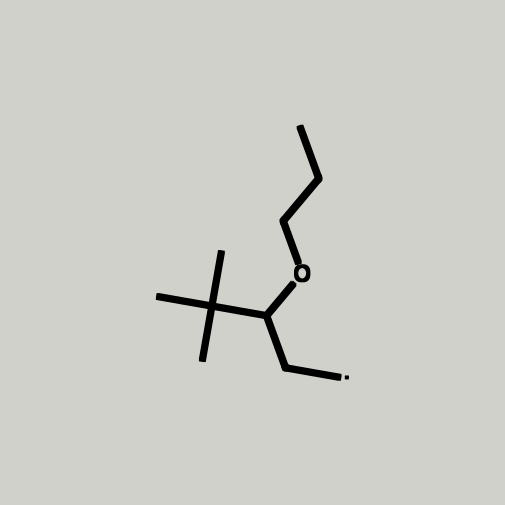 [CH2]CC(OCCC)C(C)(C)C